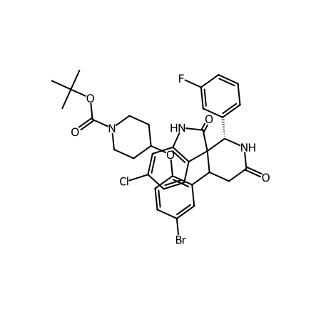 CC(C)(C)OC(=O)N1CCC(Oc2ccc(Br)cc2C2CC(=O)N[C@@H](c3cccc(F)c3)C23C(=O)Nc2cc(Cl)ccc23)CC1